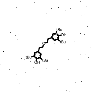 CC(C)(C)c1cc(CCOCCc2cc(C(C)(C)C)c(O)c(C(C)(C)C)c2)cc(C(C)(C)C)c1O